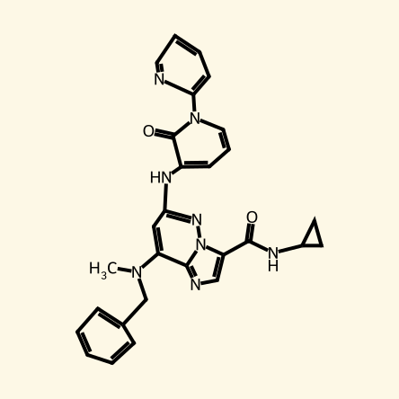 CN(Cc1ccccc1)c1cc(Nc2cccn(-c3ccccn3)c2=O)nn2c(C(=O)NC3CC3)cnc12